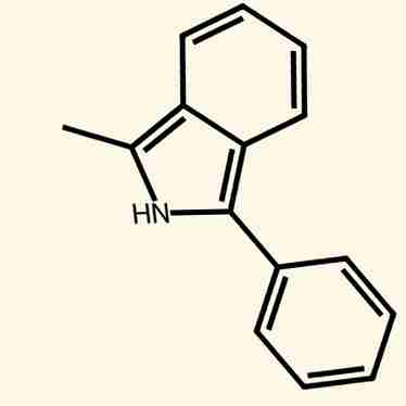 Cc1[nH]c(-c2ccccc2)c2ccccc12